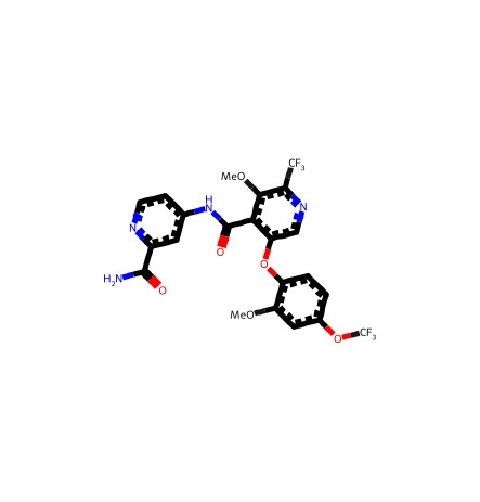 COc1cc(OC(F)(F)F)ccc1Oc1cnc(C(F)(F)F)c(OC)c1C(=O)Nc1ccnc(C(N)=O)c1